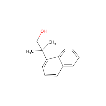 CC(C)(CO)c1cccc2ccccc12